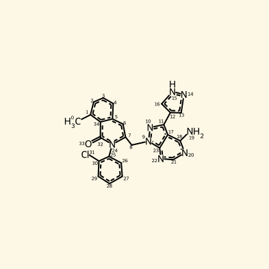 Cc1cccc2cc(Cn3nc(-c4cn[nH]c4)c4c(N)ncnc43)n(-c3ccccc3Cl)c(=O)c12